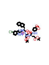 CC(C)(C)OC(=O)CC[C@H](NC(=O)[C@H](CC(=O)OC(C)(C)C)NC(=O)[C@H](Cc1ccc2ccccc2c1)NC(=O)c1cc2cc(Cl)ccc2[nH]1)C(=O)Nc1ccc2c(c1)OCO2